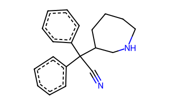 N#CC(c1ccccc1)(c1ccccc1)C1CCCCNC1